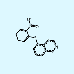 O=[N+]([O-])C1=CCCC=C1Sc1cccc2cnccc12